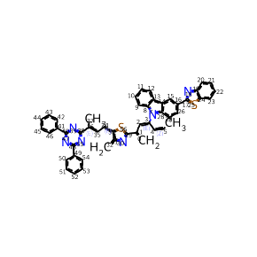 C=C(/C=C(\C=C/C)n1c2ccccc2c2cc(-c3nc4ccccc4s3)ccc21)c1nc(=C)/c(=C\C=C(/C)c2nc(-c3ccccc3)nc(-c3ccccc3)n2)s1